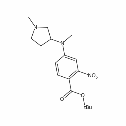 CN1CCC(N(C)c2ccc(C(=O)OC(C)(C)C)c([N+](=O)[O-])c2)C1